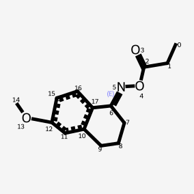 CCC(=O)O/N=C1\CCCc2cc(OC)ccc21